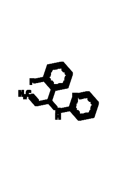 C=CC(Nc1ccccn1)c1ccccc1F